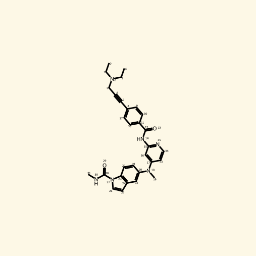 CCN(CC)CC#Cc1ccc(C(=O)Nc2cc(N(C)c3ccc4c(ccn4C(=O)NC)c3)ccn2)cc1